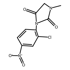 CN1CC(=O)N(c2ccc([N+](=O)[O-])cc2Cl)C1=O